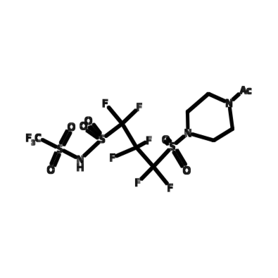 CC(=O)N1CCN(S(=O)(=O)C(F)(F)C(F)(F)C(F)(F)S(=O)(=O)NS(=O)(=O)C(F)(F)F)CC1